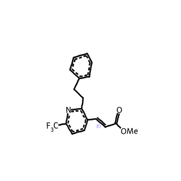 COC(=O)/C=C/c1ccc(C(F)(F)F)nc1CCc1ccccc1